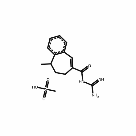 CC1CCC(C(=O)NC(=N)N)=Cc2ccccc21.CS(=O)(=O)O